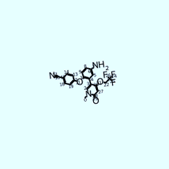 Cn1cc(-c2cc(N)ccc2Oc2ccc(C#N)cc2)c(OCC(F)(F)F)cc1=O